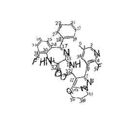 Cc1cnc(F)c(-c2nn3c(c2C(=O)NC2N=C(c4ccccc4)c4cccc(F)c4NC2=O)OCCC3)c1